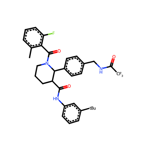 Cc1cccc(F)c1C(=O)N1CCCC(C(=O)Nc2cccc(C(C)(C)C)c2)C1c1ccc(CNC(=O)C(F)(F)F)cc1